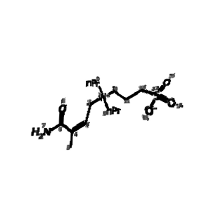 CCC[N+](CC=C(C)C(N)=O)(CCC)CCCS(=O)(=O)[O-]